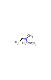 [CH2]CN(C)[SiH2]C